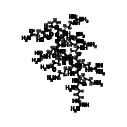 N=C(N)NCCC[C@H](NC(=O)[C@H](CCCNC(=N)N)NC(=O)[C@H](CCCCN)NC(=O)[C@H](CCCCN)NC(=O)[C@@H](N)CCCNC(=N)N)C(=O)N[C@@H](CCC(N)=O)C(=O)N[C@@H](CCCNC(=N)N)C(=O)N[C@@H](CCCNC(=N)N)C(=O)N[C@@H](CCCNC(=N)N)C(=O)N1CCC[C@H]1C(=O)N[C@@H](CCC(N)=O)C(=O)O